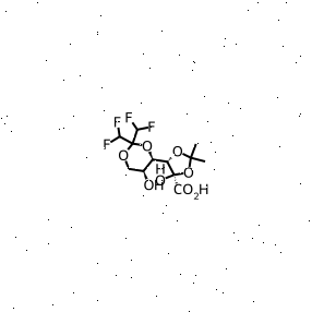 CC1(C)O[C@@H]([C@@H]2OC(C(F)F)(C(F)F)OC[C@@H]2O)[C@@](O)(C(=O)O)O1